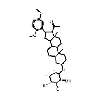 COc1ccc(OC)c(C2CC3C4CC=C5CC(OC6O[C@@H](C)[C@@H](O)C(O)[C@@H]6O)CCC5(C)C4CCC3(C)C2C(C)=O)c1